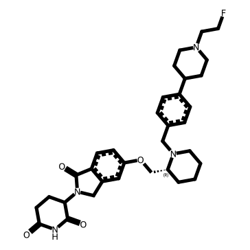 O=C1CCC(N2Cc3cc(OC[C@H]4CCCCN4Cc4ccc(C5CCN(CCF)CC5)cc4)ccc3C2=O)C(=O)N1